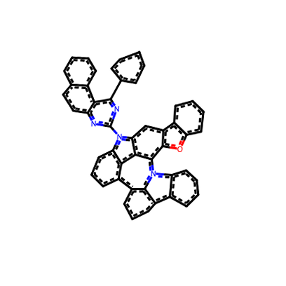 c1ccc(-c2nc(-n3c4cccc5c6cccc7c8ccccc8n(c67)c6c7oc8ccccc8c7cc3c6c54)nc3ccc4ccccc4c23)cc1